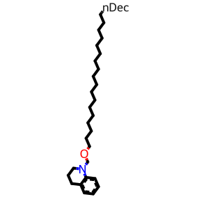 CCCCCCCCCCCCCCCCCCCCCCCCCCCCOCN1CCCc2ccccc21